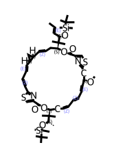 C/C=C/[C@H](O[Si](C)(C)C(C)(C)C)C(C)(C)[C@@H]1C/C=C\[C@H]2C[C@H]2/C=C/C=C\c2nc(cs2)C(=O)O[C@H](C(C)(C)[C@H](C)O[Si](C)(C)C(C)(C)C)C\C=C/C=C\C=C\[C@H](OC)Cc2nc(cs2)C(=O)O1